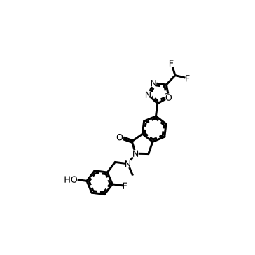 CN(Cc1cc(O)ccc1F)N1Cc2ccc(-c3nnc(C(F)F)o3)cc2C1=O